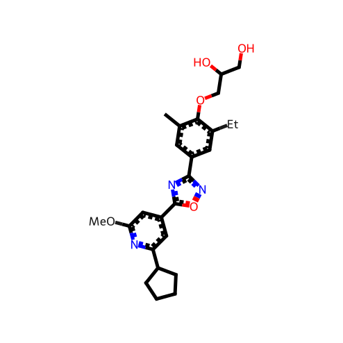 CCc1cc(-c2noc(-c3cc(OC)nc(C4CCCC4)c3)n2)cc(C)c1OCC(O)CO